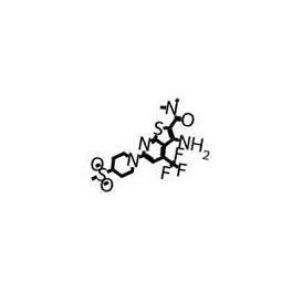 CN(C)C(=O)c1sc2nc(N3CCC(S(C)(=O)=O)CC3)cc(C(F)(F)F)c2c1N